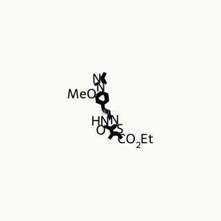 CCOC(=O)c1sc2nc(/C=C/c3ccc(-n4cnc(C)c4)c(OC)c3)[nH]c(=O)c2c1C